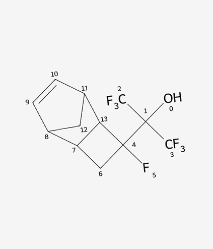 OC(C(F)(F)F)(C(F)(F)F)C1(F)CC2C3C=CC(C3)C21